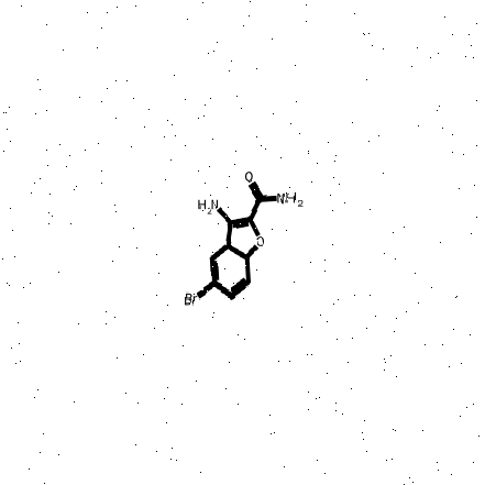 NC(=O)C1=C(N)C2C=C(Br)C=CC2O1